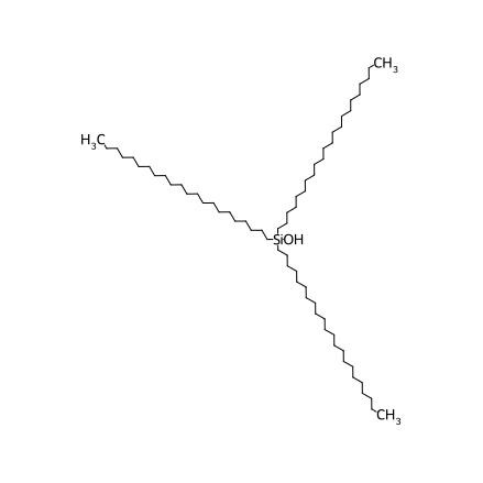 CCCCCCCCCCCCCCCCCCCCCC[Si](O)(CCCCCCCCCCCCCCCCCCCCCC)CCCCCCCCCCCCCCCCCCCCCC